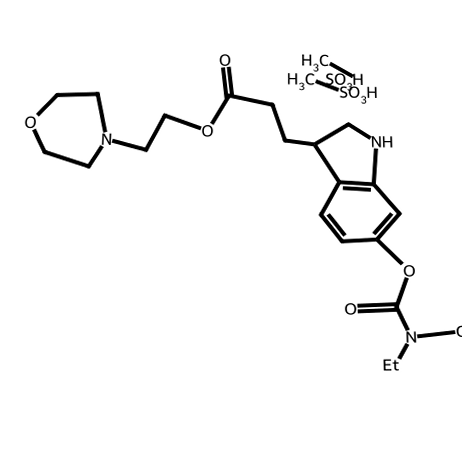 CCN(C)C(=O)Oc1ccc2c(c1)NCC2CCC(=O)OCCN1CCOCC1.CS(=O)(=O)O.CS(=O)(=O)O